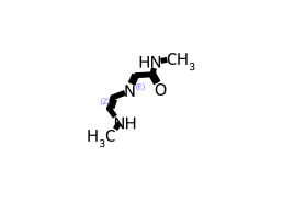 CN/C=C\N=C\C(=O)NC